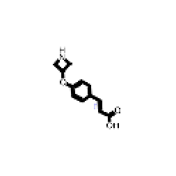 O=C(O)/C=C/c1ccc(OC2CNC2)cc1